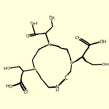 O=C(O)C(CO)N1CCNCCN(C(CO)C(=O)O)CCN(C(CO)C(=O)O)CC1